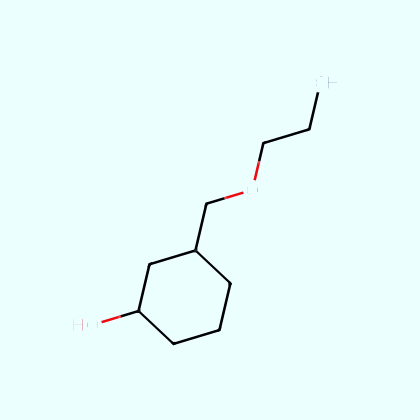 CCCOCC1CCCC(O)C1